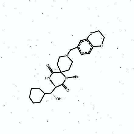 CCCCN1C(=O)[C@@H]([C@H](O)C2CCCCC2)NC(=O)C12CCN(Cc1ccc3c(c1)OCCO3)CC2